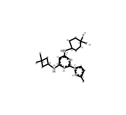 Cc1ccn(-c2nc(NC3CCC(F)(F)CC3)cc(NC3CC(C)(C)C3)n2)n1